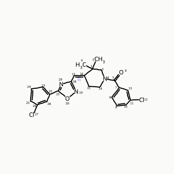 CC1(C)CN(C(=O)c2cccc(Cl)c2)CC/C1=C\c1noc(-c2cccc(Cl)c2)n1